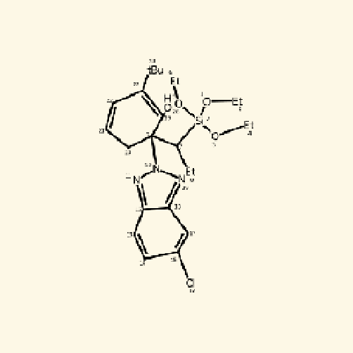 CCO[Si](OCC)(OCC)C(CC)C1(n2nc3ccc(Cl)cc3n2)CC=CC(C(C)(C)C)=C1O